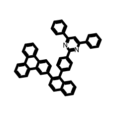 c1ccc(-c2cc(-c3ccccc3)nc(-c3ccc(-c4c(-c5ccc6c7ccccc7c7ccccc7c6c5)ccc5ccccc45)cc3)n2)cc1